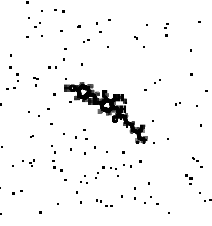 Nc1c(NC(=O)CCCCC(F)CF)ccc(NCc2ccc(O)cc2)c1F